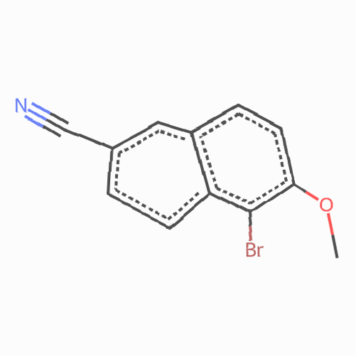 COc1ccc2cc(C#N)ccc2c1Br